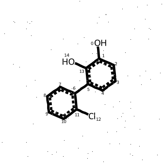 Oc1cccc(-c2ccc[c]c2Cl)c1O